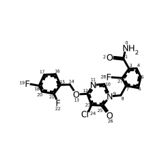 NC(=O)c1cccc(Cn2cnc(OCc3ccc(F)cc3F)c(Cl)c2=O)c1F